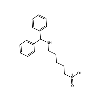 O=[PH](O)CCCCCNC(c1ccccc1)c1ccccc1